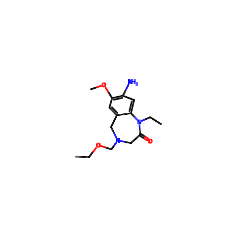 CCOCN1CC(=O)N(CC)c2cc(N)c(OC)cc2C1